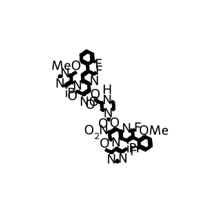 COc1cccc(F)c1-c1cc2c(nc1F)c(OC(=O)C1CN(C(=O)Oc3c([N+](=O)[O-])c(=O)n(-c4c(C)ncnc4C(C)C)c4cc(-c5c(F)cccc5OC)c(F)nc34)CCN1)c([N+](=O)[O-])c(=O)n2-c1c(C)ncnc1C(C)C